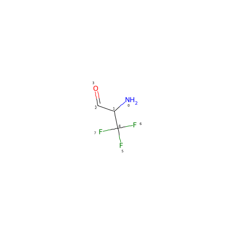 NC([C]=O)C(F)(F)F